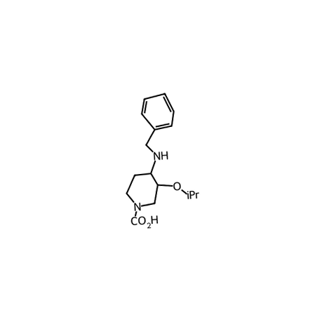 CC(C)OC1CN(C(=O)O)CCC1NCc1ccccc1